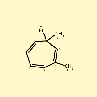 CCC1(C)C=CC=CC(C)=C1